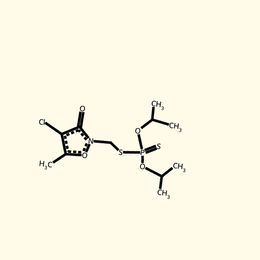 Cc1on(CSP(=S)(OC(C)C)OC(C)C)c(=O)c1Cl